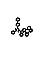 c1ccc(-c2ccc(-c3nc(-c4ccccc4)nc(C4c5ccccc5-c5c4ccc4c5-c5cnccc5-c5cccc6cccc-4c56)n3)cc2)cc1